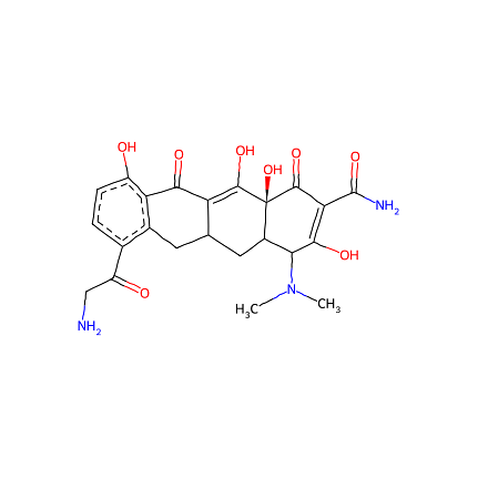 CN(C)C1C(O)=C(C(N)=O)C(=O)[C@@]2(O)C(O)=C3C(=O)c4c(O)ccc(C(=O)CN)c4CC3CC12